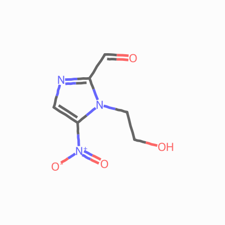 O=Cc1ncc([N+](=O)[O-])n1CCO